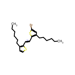 CCCCCCc1ccsc1/C=C/c1sc(Br)cc1CCCCCC